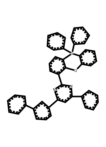 c1ccc(-c2cccc(-c3cc(-c4ccccc4)nc(-c4cccc5c4Oc4ccccc4S5(c4ccccc4)c4ccccc4)n3)c2)cc1